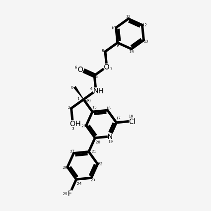 C[C@@](CO)(NC(=O)OCc1ccccc1)c1cc(Cl)nc(-c2ccc(F)cc2)c1